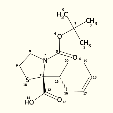 CC(C)(C)OC(=O)N1CCS[C@@]1(C(=O)O)[C@H]1CC=CCC1